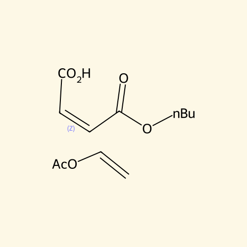 C=COC(C)=O.CCCCOC(=O)/C=C\C(=O)O